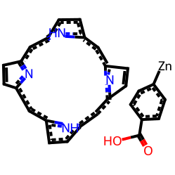 C1=Cc2cc3ccc(cc4nc(cc5ccc(cc1n2)[nH]5)C=C4)[nH]3.O=C(O)c1cc[c]([Zn])cc1